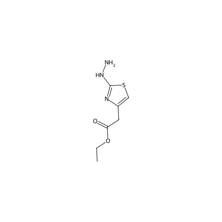 CCOC(=O)Cc1csc(NN)n1